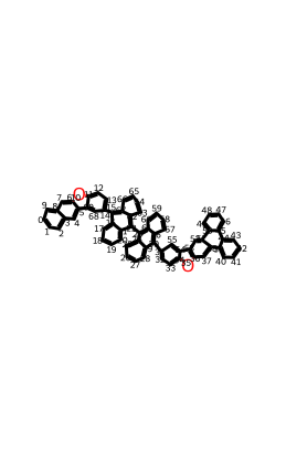 c1ccc2cc3c(cc2c1)oc1ccc(-c2c4ccccc4c(-c4c5ccccc5c(-c5ccc6oc7cc8c9ccccc9c9ccccc9c8cc7c6c5)c5ccccc45)c4ccccc24)cc13